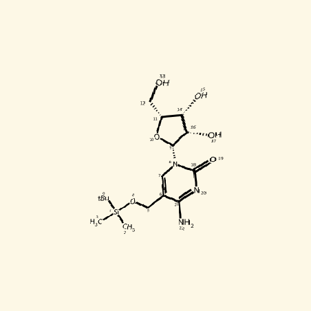 CC(C)(C)[Si](C)(C)OCc1cn([C@@H]2O[C@H](CO)[C@H](O)[C@@H]2O)c(=O)nc1N